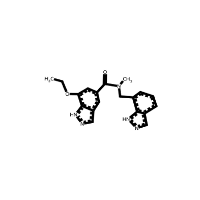 CCOc1cc(C(=O)N(C)Cc2cccc3cn[nH]c23)cc2cn[nH]c12